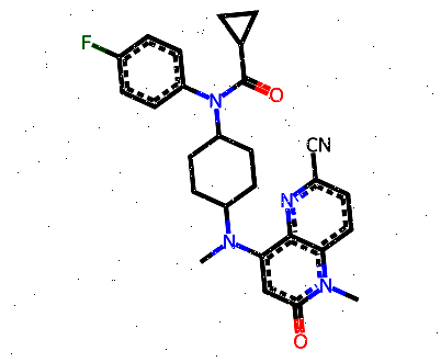 CN(c1cc(=O)n(C)c2ccc(C#N)nc12)C1CCC(N(C(=O)C2CC2)c2ccc(F)cc2)CC1